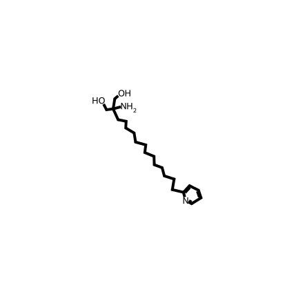 NC(CO)(CO)CCCCCCCCCCCCCc1ccccn1